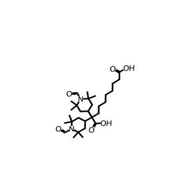 CC1(C)CC(C(CCCCCCCC(=O)O)(C(=O)O)C2CC(C)(C)N(C=O)C(C)(C)C2)CC(C)(C)N1C=O